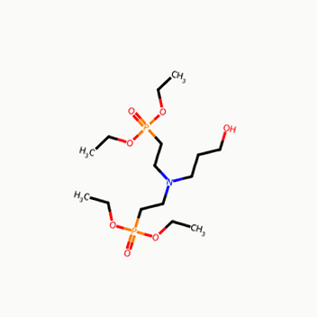 CCOP(=O)(CCN(CCCO)CCP(=O)(OCC)OCC)OCC